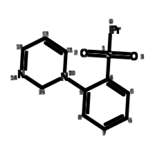 CC(C)S(=O)(=O)c1ccccc1N1C=CC=NC1